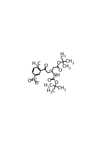 Cc1ccc([N+](=O)[O-])cc1C(=O)C[C@@H](CC(=O)OC(C)(C)C)NC(=O)OC(C)(C)C